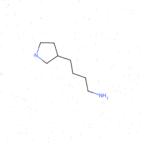 NCCCCC1CC[N]C1